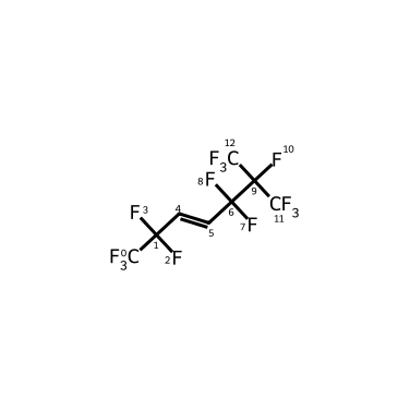 FC(F)(F)C(F)(F)/C=C/C(F)(F)C(F)(C(F)(F)F)C(F)(F)F